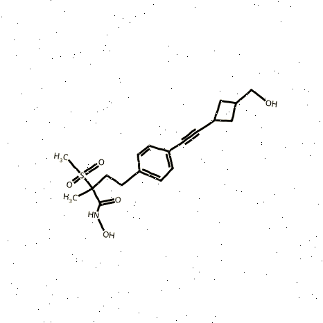 CC(CCc1ccc(C#CC2CC(CO)C2)cc1)(C(=O)NO)S(C)(=O)=O